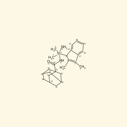 CC1=C(C)[CH]([Ti]([CH3])([CH3])([SiH3])[NH]C(=O)C23CC4CC(CC(C4)C2)C3)c2ccccc21